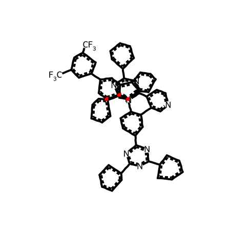 FC(F)(F)c1cc(-c2ccc3c(c2)c2ccccc2n3-c2ccc(-c3nc(-c4ccccc4)nc(-c4ccccc4)n3)cc2-c2cnccc2-c2nc(-c3ccccc3)nc(-c3ccccc3)n2)cc(C(F)(F)F)c1